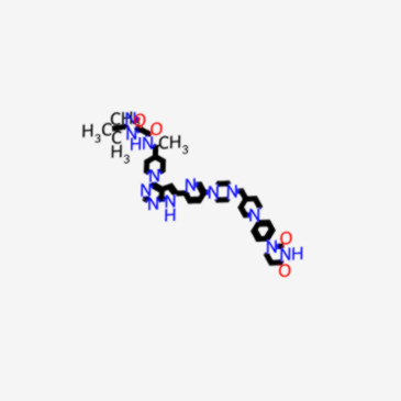 C[C@@H](NC(=O)c1nc(C(C)(C)C)no1)C1CCN(c2ncnc3[nH]c(-c4ccc(N5CCN(CC6CCN(c7ccc(N8CCC(=O)NC8=O)cc7)CC6)CC5)cn4)cc23)CC1